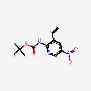 C=Cc1cc([N+](=O)[O-])cnc1NC(=O)OC(C)(C)C